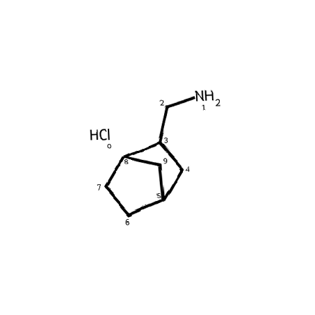 Cl.NCC1CC2CCC1C2